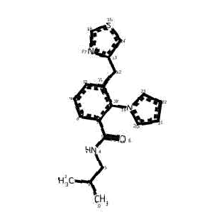 CC(C)CNC(=O)c1cccc(Cc2cscn2)c1-n1cccc1